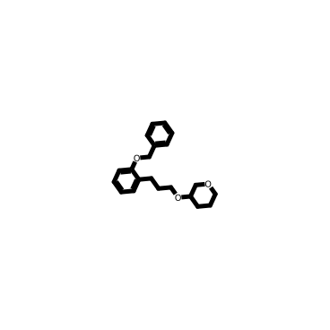 c1ccc(COc2ccccc2CCCOC2CCCOC2)cc1